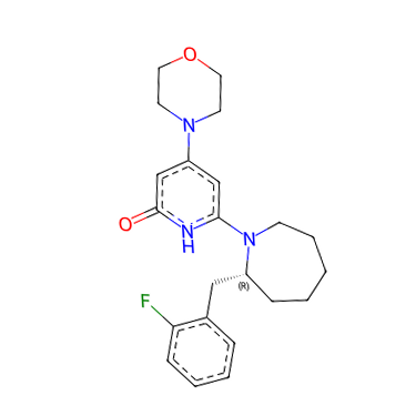 O=c1cc(N2CCOCC2)cc(N2CCCCC[C@@H]2Cc2ccccc2F)[nH]1